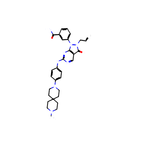 C=CCn1c(=O)c2cnc(Nc3ccc(N4CCC5(CCN(C)CC5)CC4)cc3)nc2n1-c1cccc(C(N)=O)c1